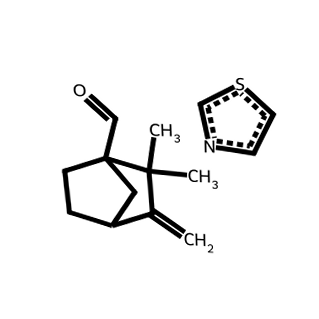 C=C1C2CCC(C=O)(C2)C1(C)C.c1cscn1